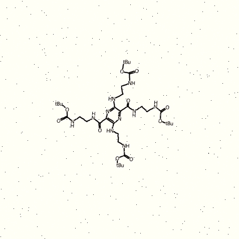 CC(C)(C)OC(=O)NCCNC(=O)c1nc(NCCNC(=O)OC(C)(C)C)c(C(=O)NCCNC(=O)OC(C)(C)C)nc1NCCNC(=O)OC(C)(C)C